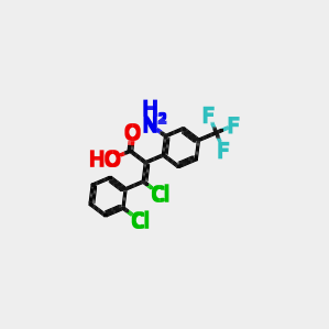 Nc1cc(C(F)(F)F)ccc1C(C(=O)O)=C(Cl)c1ccccc1Cl